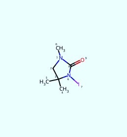 CN1CC(C)(C)N(I)C1=O